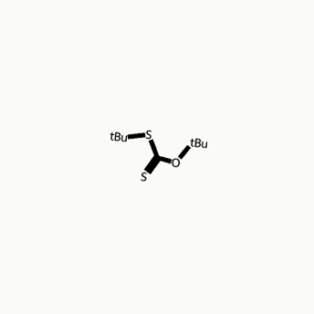 CC(C)(C)OC(=S)SC(C)(C)C